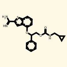 N=C(N)c1cc2c(OC(COC(=O)NCC3CC3)c3ccccc3)cccc2s1